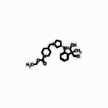 CCOC(=O)N1CCC(CN2CC[C@H](Nc3ccccc3[C@@](C)(C=O)CO)C2)CC1